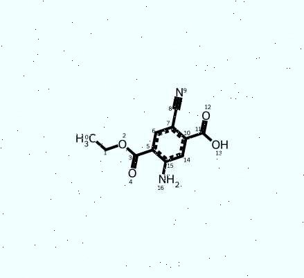 CCOC(=O)c1cc(C#N)c(C(=O)O)cc1N